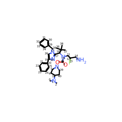 CN(C)C1CCN(OC(=O)N(CC(F)CN)[C@@H](c2nc(-c3ccccc3)cn2Cc2ccccc2)C(C)(C)C)CC1